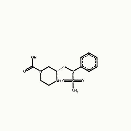 CS(=O)(=O)N(C[C@H]1CN(C(=O)O)CCN1)c1ccccc1